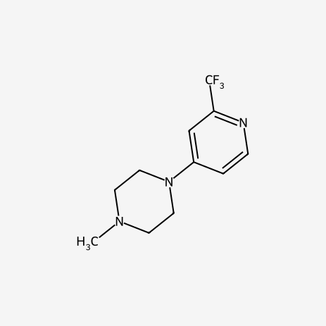 CN1CCN(c2ccnc(C(F)(F)F)c2)CC1